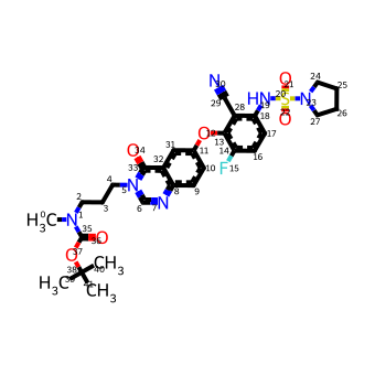 CN(CCCn1cnc2ccc(Oc3c(F)ccc(NS(=O)(=O)N4CCCC4)c3C#N)cc2c1=O)C(=O)OC(C)(C)C